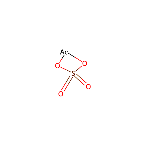 O=S1(=O)[O][Ac][O]1